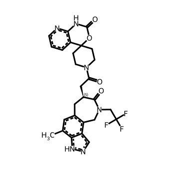 Cc1cc2c(c3cn[nH]c13)CN(CC(F)(F)F)C(=O)[C@H](CC(=O)N1CCC3(CC1)OC(=O)Nc1ncccc13)C2